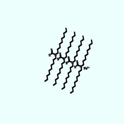 CCCCCCCCCCN(CCCCCCCCCC)C(=S)[S-].CCCCCCCCCCN(CCCCCCCCCC)C(=S)[S-].CCCCCCCCCCN(CCCCCCCCCC)C(=S)[S-].CCCCCCCCCCN(CCCCCCCCCC)C(=S)[S-].[Pb+4]